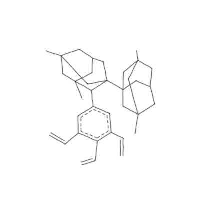 C=Cc1cc(C2C3(C)CC4CC(C)(C3)CC2(C23CC5CC(C)(CC(C)(C5)C2)C3)C4)cc(C=C)c1C=C